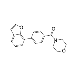 O=C(c1ccc(-c2cccc3ccoc23)cc1)N1CCOCC1